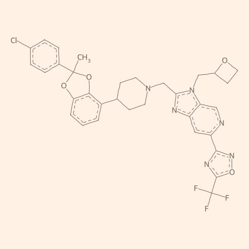 CC1(c2ccc(Cl)cc2)Oc2cccc(C3CCN(Cc4nc5cc(-c6noc(C(F)(F)F)n6)ncc5n4CC4CCO4)CC3)c2O1